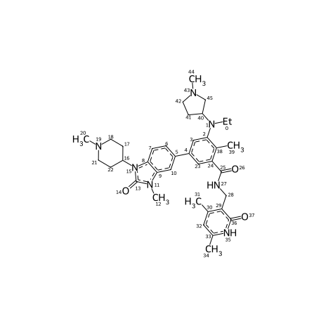 CCN(c1cc(-c2ccc3c(c2)n(C)c(=O)n3C2CCN(C)CC2)cc(C(=O)NCc2c(C)cc(C)[nH]c2=O)c1C)C1CCN(C)C1